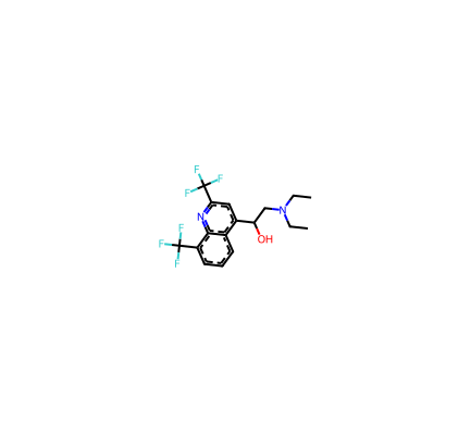 CCN(CC)CC(O)c1cc(C(F)(F)F)nc2c(C(F)(F)F)cccc12